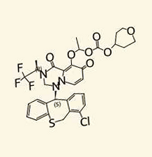 CC(OC(=O)OC1CCOCC1)Oc1c2n(ccc1=O)N([C@@H]1c3ccccc3SCc3c(Cl)cccc31)CN([C@H](C)C(F)(F)F)C2=O